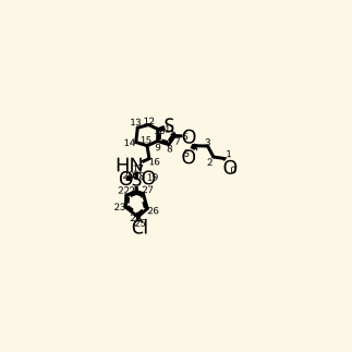 O=CCCC(=O)Oc1cc2c(s1)CCCC2CNS(=O)(=O)c1ccc(Cl)cc1